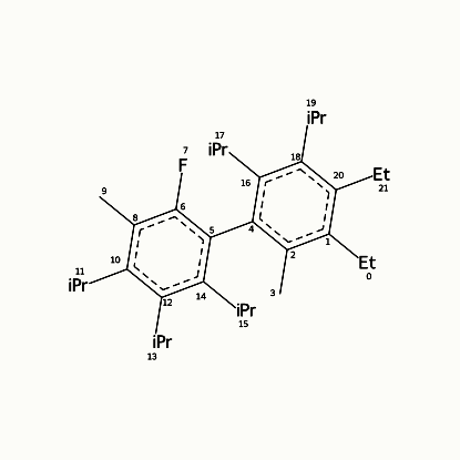 CCc1c(C)c(-c2c(F)c(C)c(C(C)C)c(C(C)C)c2C(C)C)c(C(C)C)c(C(C)C)c1CC